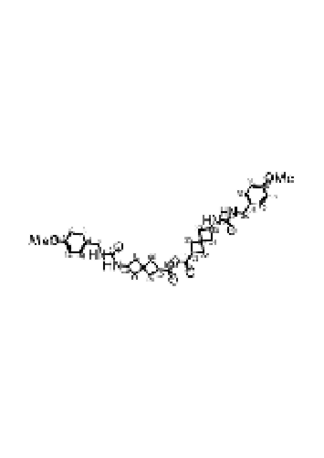 COc1ccc(CNC(=O)NC2CC3(C2)CC(C(=O)OC(=O)C2CC4(CC(NC(=O)NCc5ccc(OC)cc5)C4)C2)C3)cc1